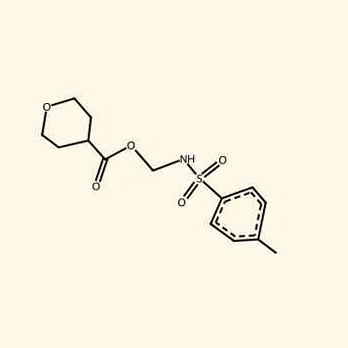 Cc1ccc(S(=O)(=O)NCOC(=O)C2CCOCC2)cc1